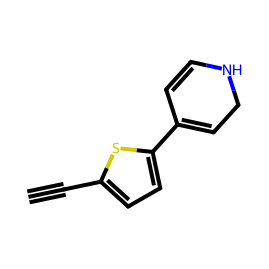 C#Cc1ccc(C2=CCNC=C2)s1